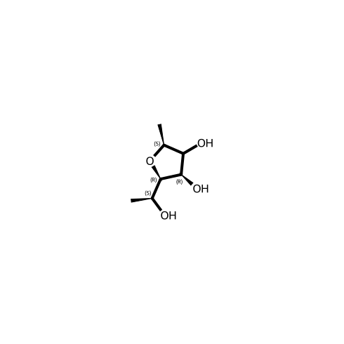 C[C@@H]1O[C@H]([C@H](C)O)[C@H](O)C1O